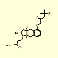 CCCCC[C@H](O)CC[C@@H]1[C@H]2Cc3cccc(OCC(=O)OC(C)(C)C(F)(F)F)c3C[C@H]2C[C@H]1O